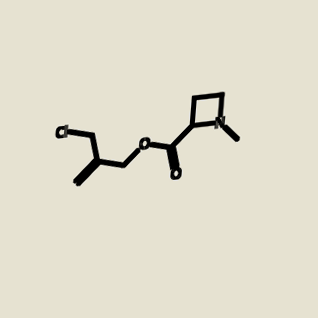 C=C(CCl)COC(=O)C1CCN1C